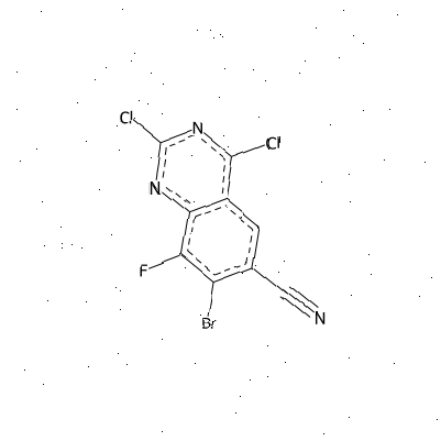 N#Cc1cc2c(Cl)nc(Cl)nc2c(F)c1Br